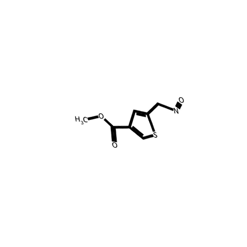 COC(=O)c1csc(CN=O)c1